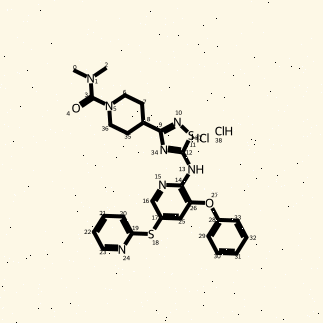 CN(C)C(=O)N1CCC(c2nsc(Nc3ncc(Sc4ccccn4)cc3Oc3ccccc3)n2)CC1.Cl.Cl